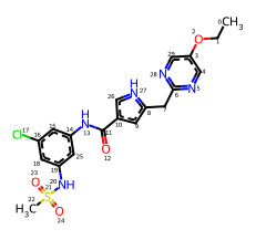 CCOc1cnc(Cc2cc(C(=O)Nc3cc(Cl)cc(NS(C)(=O)=O)c3)c[nH]2)nc1